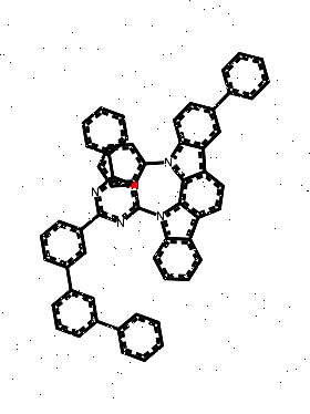 c1ccc(-c2cccc(-c3cccc(-c4nc(-c5ccccc5)nc(-n5c6ccccc6c6ccc7c8cc(-c9ccccc9)ccc8n(-c8ccccc8)c7c65)n4)c3)c2)cc1